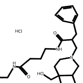 CCNC(=O)CCCNC(=O)C(Cc1ccccc1)CN1CCC(C)(CO)C(C)C1.Cl